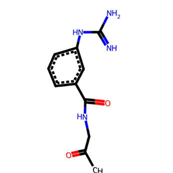 CC(=O)CNC(=O)c1cccc(NC(=N)N)c1